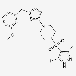 COc1cccc(Cc2csc(N3CCN(S(=O)(=O)c4c(I)n[nH]c4I)CC3)n2)c1